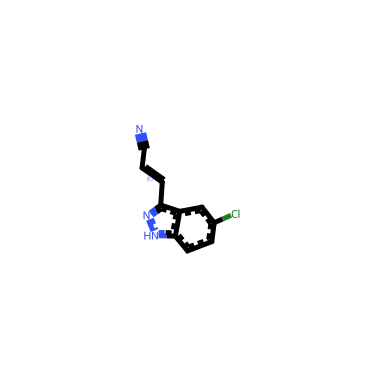 N#C/C=C/c1n[nH]c2ccc(Cl)cc12